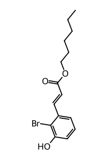 CCCCCCOC(=O)/C=C/c1cccc(O)c1Br